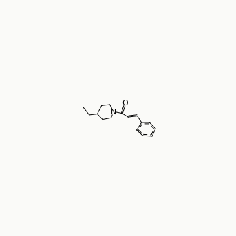 [CH2]CC1CCN(C(=O)/C=C/c2ccccc2)CC1